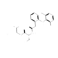 C[C@@H](O)[C@H](NC(=O)[C@H](CO)NC(=O)Cc1ccccc1Nc1c(Cl)cccc1Cl)C(=O)O